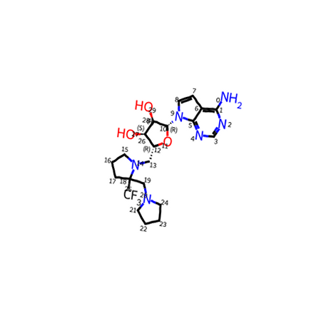 Nc1ncnc2c1ccn2[C@@H]1O[C@H](CN2CCCC2(CN2CCCC2)C(F)(F)F)[C@@H](O)[C@H]1O